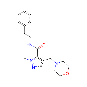 Cn1ncc(CN2CCOCC2)c1C(=O)NCCc1ccccc1